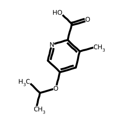 Cc1cc(OC(C)C)cnc1C(=O)O